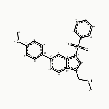 CNCc1cn(S(=O)(=O)c2cccnc2)c2cc(-c3ccc(OC)cc3)ccc12